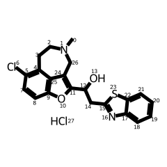 CN1CCc2c(Cl)ccc3oc(C(O)Cc4nc5ccccc5s4)c(c23)C1.Cl